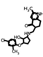 Cc1cc2c([nH]1)CCC(CNC1CCC(Oc3ccc(Cl)cc3C)C1O)C2=O